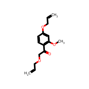 C=CCOCC(=O)c1ccc(OCC=C)cc1OC